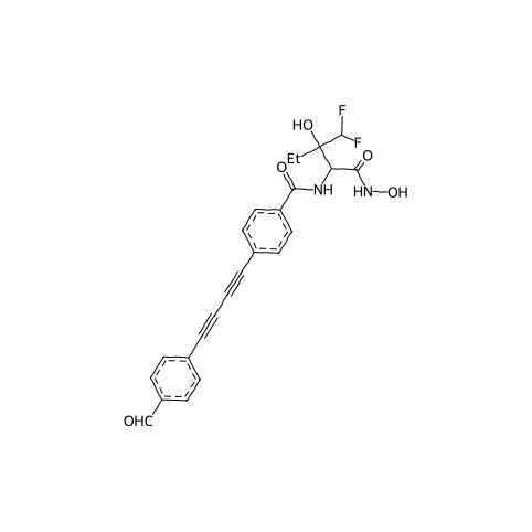 CCC(O)(C(F)F)C(NC(=O)c1ccc(C#CC#Cc2ccc(C=O)cc2)cc1)C(=O)NO